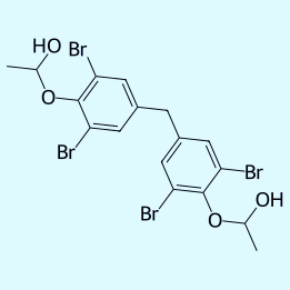 CC(O)Oc1c(Br)cc(Cc2cc(Br)c(OC(C)O)c(Br)c2)cc1Br